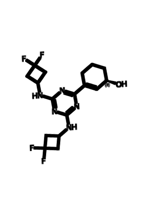 O[C@H]1C=C(c2nc(NC3CC(F)(F)C3)nc(NC3CC(F)(F)C3)n2)CCC1